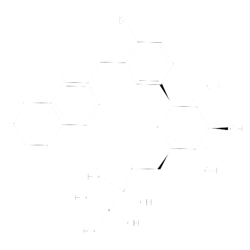 CC(C)(C)[Si](C)(C)OC[C@H]1O[C@@H](c2ccc(Br)c(Cc3ccc4c(c3)OCCO4)c2)[C@H](O)[C@@H](O)[C@@H]1O